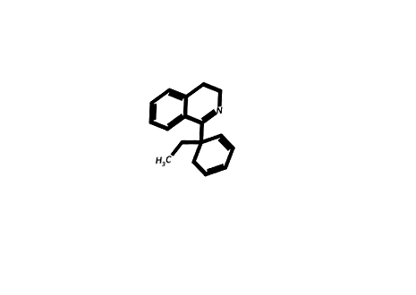 CCC1(C2=NCCc3ccccc32)C=CC=CC1